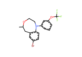 CC1Cc2cc(Br)ccc2N(c2cccc(OC(F)(F)F)c2)CCO1